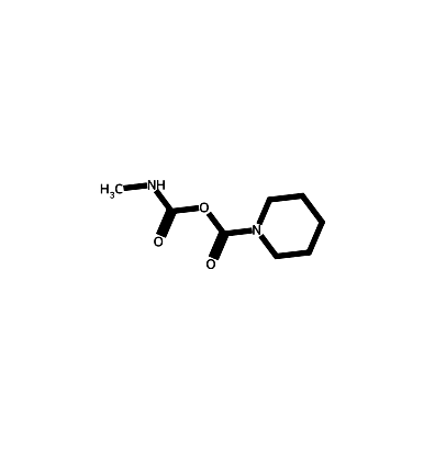 CNC(=O)OC(=O)N1CCCCC1